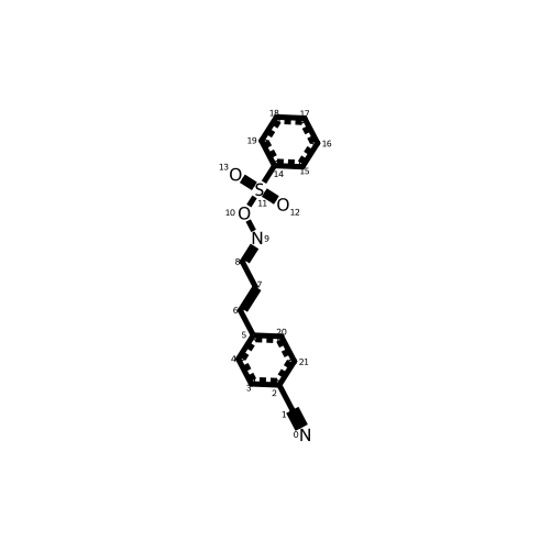 N#Cc1ccc(C=CC=NOS(=O)(=O)c2ccccc2)cc1